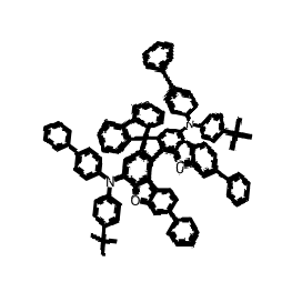 CC(C)(C)c1ccc(N(c2ccc(-c3ccccc3)cc2)c2cc3c(c4c2oc2cc(-c5ccccc5)ccc24)-c2c(cc(N(c4ccc(-c5ccccc5)cc4)c4ccc(C(C)(C)C)cc4)c4c2oc2cc(-c5ccccc5)ccc24)C32c3ccccc3-c3ccccc32)cc1